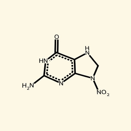 Nc1nc2c(c(=O)[nH]1)NCN2[N+](=O)[O-]